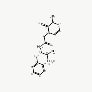 CC(C)C1SC=CN(CC(=O)N[C@@H](Cc2ccccc2)C(O)C(=O)O)C1=O